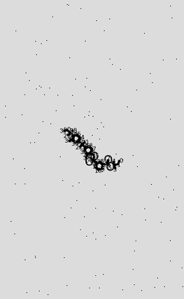 CCC(C)(C)OC(=O)c1cccc(C(=O)Oc2ccc(C(C)(C)c3ccc(C(C)(C)CC)c(C)c3)cc2C)c1